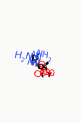 C#C[C@]1(COC(C)=O)O[C@@H](n2cnc3c(N)nc(N)nc32)CC1OC(C)=O